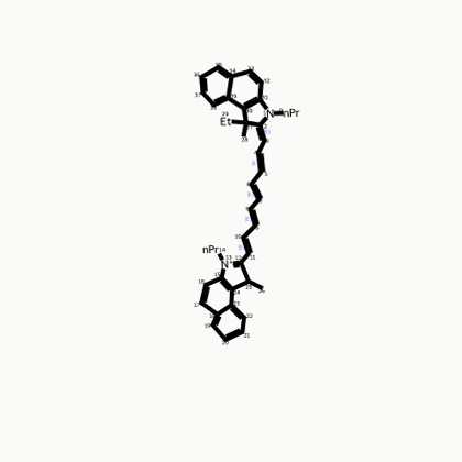 CCCN1/C(=C/C=C/C=C/C=C/C=C/C2=[N+](CCC)c3ccc4ccccc4c3C2C)C(C)(CC)c2c1ccc1ccccc21